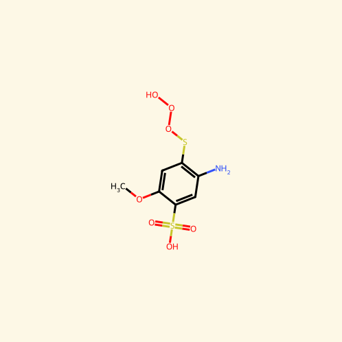 COc1cc(SOOO)c(N)cc1S(=O)(=O)O